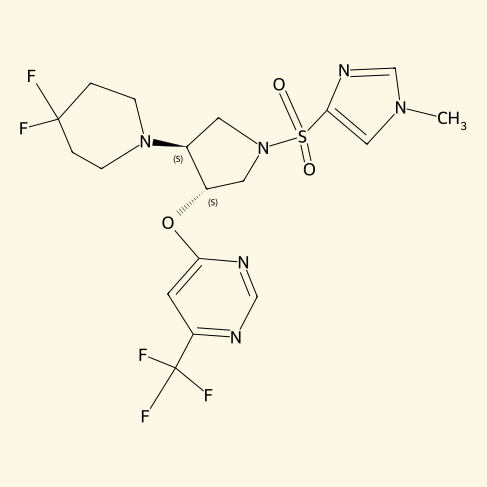 Cn1cnc(S(=O)(=O)N2C[C@H](Oc3cc(C(F)(F)F)ncn3)[C@@H](N3CCC(F)(F)CC3)C2)c1